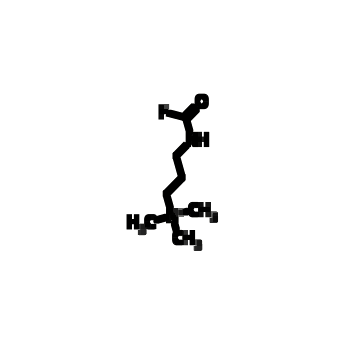 C[N+](C)(C)CCCNC(=O)F